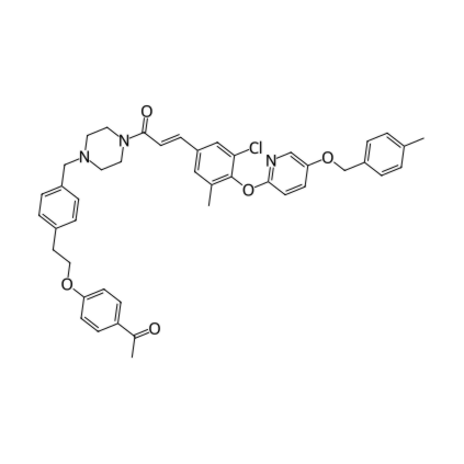 CC(=O)c1ccc(OCCc2ccc(CN3CCN(C(=O)/C=C/c4cc(C)c(Oc5ccc(OCc6ccc(C)cc6)cn5)c(Cl)c4)CC3)cc2)cc1